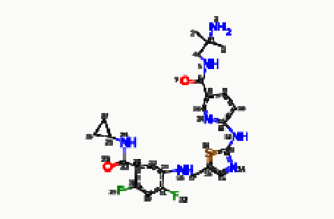 CC(C)(N)CNC(=O)c1ccc(Nc2ncc(CNc3cc(C(=O)NC4CC4)c(F)cc3F)s2)nc1